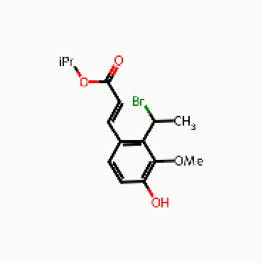 COc1c(O)ccc(C=CC(=O)OC(C)C)c1C(C)Br